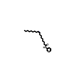 CCCCCCCC/C=C\CCCCCCCC(=O)Nc1cccnc1